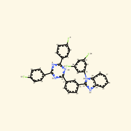 Fc1ccc(-c2nc(-c3ccc(F)cc3)nc(-c3cccc(-c4nc5ccccc5n4-c4cc(F)cc(F)c4)c3)n2)cc1